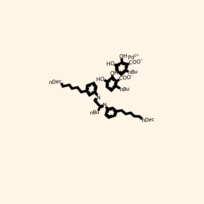 CCCCCCCCCCCCCCCc1cccc(N=CC(CCCC)=Nc2cccc(CCCCCCCCCCCCCCC)c2)c1.CCCCc1ccc(O)c(O)c1C(=O)[O-].CCCCc1ccc(O)c(O)c1C(=O)[O-].[Pd+2]